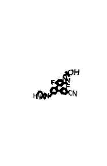 CC(C)(O)Cn1ncc2cc(-c3ccc(CN4CC5(CCCNC5)C4)cc3-c3ccc(C#N)c(F)c3)c(F)cc21